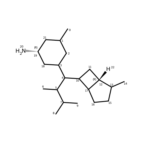 CC1CC(C(C(C)C(C)C)C2C[C@@H]3C(C)CCC23)C[C@H](N)C1